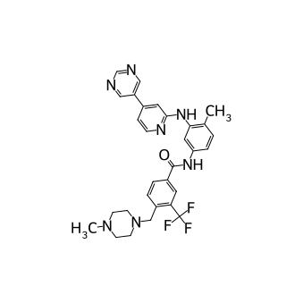 Cc1ccc(NC(=O)c2ccc(CN3CCN(C)CC3)c(C(F)(F)F)c2)cc1Nc1cc(-c2cncnc2)ccn1